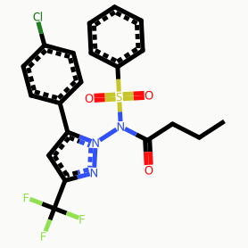 CCCC(=O)N(n1nc(C(F)(F)F)cc1-c1ccc(Cl)cc1)S(=O)(=O)c1ccccc1